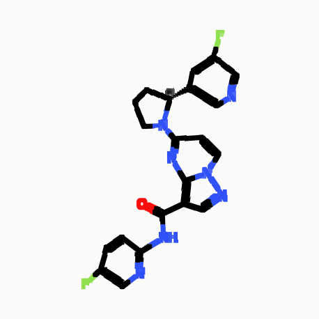 O=C(Nc1ccc(F)cn1)c1cnn2ccc(N3CCC[C@@H]3c3cncc(F)c3)nc12